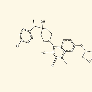 C[C@H](c1ccc(Cl)cn1)C1(O)CCN(c2c(C#N)c(=O)n(C)c3cc(OC4CCOC4)ccc23)CC1